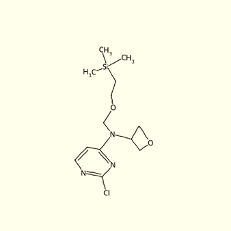 C[Si](C)(C)CCOCN(c1ccnc(Cl)n1)C1COC1